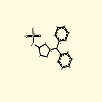 CS(=O)(=O)OC1CCN(C(c2ccccc2)c2ccccc2)C1